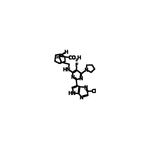 O=C(O)[C@H]1C2CCC(CC2)C1CNc1nc(-c2c[nH]c3ncc(Cl)nc23)nc(N2CCCC2)c1F